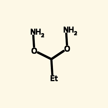 CCC(ON)ON